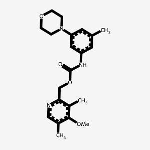 COc1c(C)cnc(COC(=O)Nc2cc(C)cc(N3CCOCC3)c2)c1C